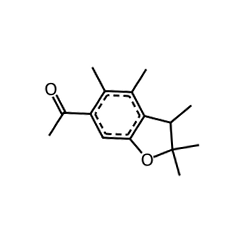 CC(=O)c1cc2c(c(C)c1C)C(C)C(C)(C)O2